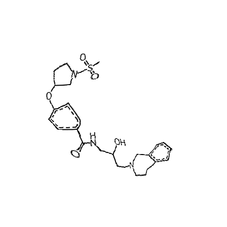 CS(=O)(=O)N1CCC(Oc2ccc(C(=O)NCC(O)CN3CCc4ccccc4C3)cc2)C1